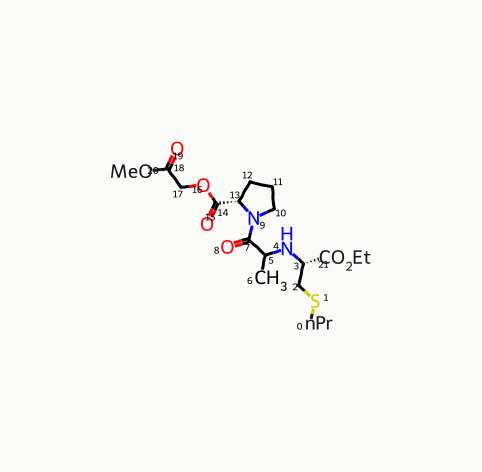 CCCSC[C@H](NC(C)C(=O)N1CCC[C@H]1C(=O)OCC(=O)OC)C(=O)OCC